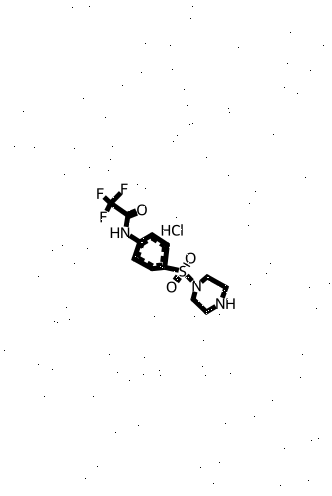 Cl.O=C(Nc1ccc(S(=O)(=O)N2CCNCC2)cc1)C(F)(F)F